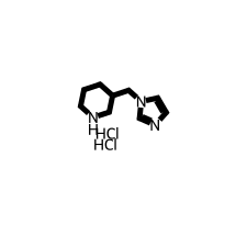 Cl.Cl.c1cn(CC2CCCNC2)cn1